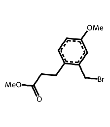 COC(=O)CCc1ccc(OC)cc1CBr